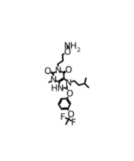 CC(C)CCN1c2c(n(C)c(=O)n(CCCON)c2=O)NC1Oc1cccc(OC(C)(F)F)c1